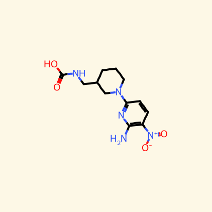 Nc1nc(N2CCCC(CNC(=O)O)C2)ccc1[N+](=O)[O-]